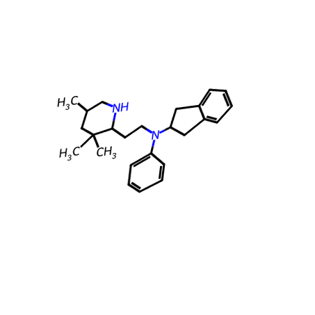 CC1CNC(CCN(c2ccccc2)C2Cc3ccccc3C2)C(C)(C)C1